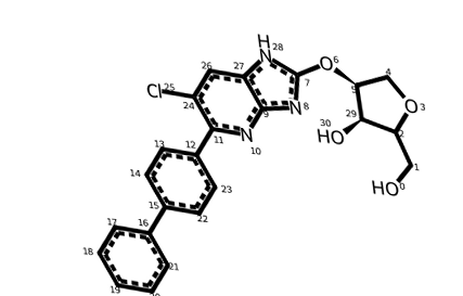 OCC1OC[C@H](Oc2nc3nc(-c4ccc(-c5ccccc5)cc4)c(Cl)cc3[nH]2)[C@@H]1O